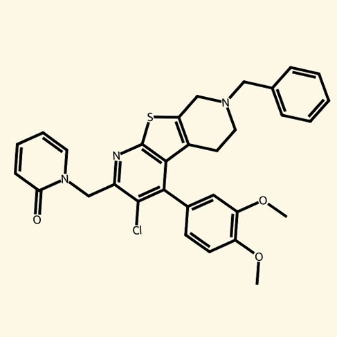 COc1ccc(-c2c(Cl)c(Cn3ccccc3=O)nc3sc4c(c23)CCN(Cc2ccccc2)C4)cc1OC